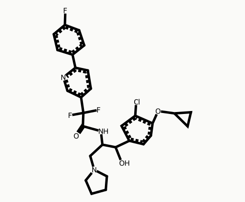 O=C(NC(CN1CCCC1)C(O)c1ccc(OC2CC2)c(Cl)c1)C(F)(F)c1ccc(-c2ccc(F)cc2)nc1